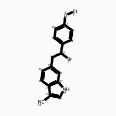 CCOc1ccc(C(Br)Cc2ccc3c(C#N)c[nH]c3c2)cc1